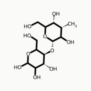 C[C@@H]1C(O)[C@H](O[C@@H]2C(CO)OC(O)C(O)[C@H]2O)OC(CO)[C@@H]1O